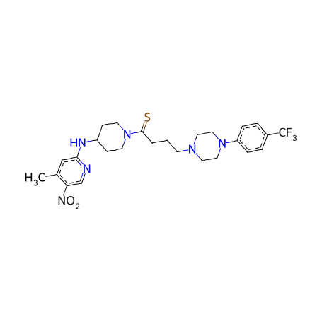 Cc1cc(NC2CCN(C(=S)CCCN3CCN(c4ccc(C(F)(F)F)cc4)CC3)CC2)ncc1[N+](=O)[O-]